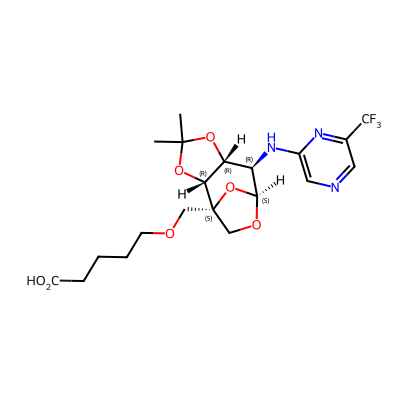 CC1(C)O[C@@H]2[C@@H](Nc3cncc(C(F)(F)F)n3)[C@H]3OC[C@](COCCCCC(=O)O)(O3)[C@@H]2O1